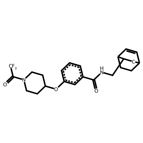 O=C(NCC1CC2C=CC1CC2)c1cccc(OC2CCN(C(=O)C(F)(F)F)CC2)c1